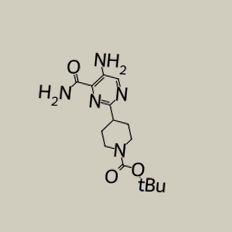 CC(C)(C)OC(=O)N1CCC(c2ncc(N)c(C(N)=O)n2)CC1